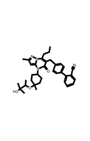 CCCc1c(Cc2ccc(-c3ccccc3C#N)cc2)c(=O)n(C2CCC(C)(OC(C)C(C)(C)O)CC2)c2cc(C)nn12